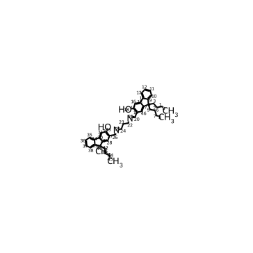 CCCCC1(CCCC)c2ccccc2-c2cc(O)c(/C=N/CCC/N=C/c3cc4c(cc3O)-c3ccccc3[C@]4(C)CCCC)cc21